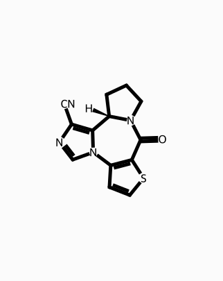 N#Cc1ncn2c1[C@@H]1CCCN1C(=O)c1sccc1-2